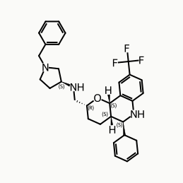 FC(F)(F)c1ccc2c(c1)[C@H]1O[C@@H](CN[C@H]3CCN(Cc4ccccc4)C3)CC[C@H]1[C@H](C1C=CC=CC1)N2